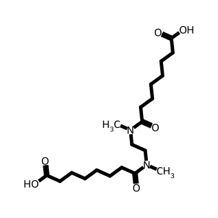 CN(CCN(C)C(=O)CCCCCCC(=O)O)C(=O)CCCCCCC(=O)O